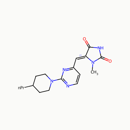 CCCC1CCN(c2nccc(/C=C3/C(=O)NC(=O)N3C)n2)CC1